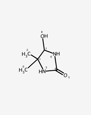 CC1(C)NC(=O)NC1O